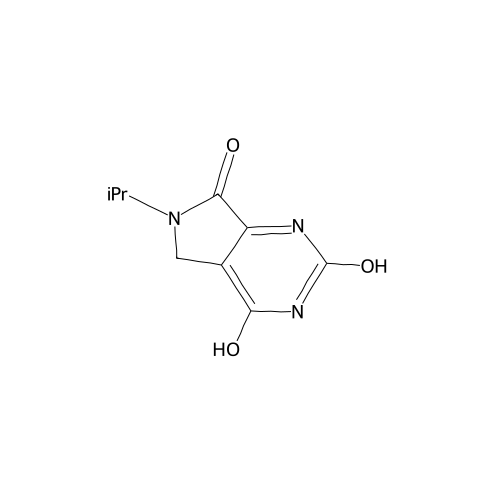 CC(C)N1Cc2c(O)nc(O)nc2C1=O